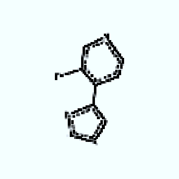 Fc1cnccc1-c1cs[c]n1